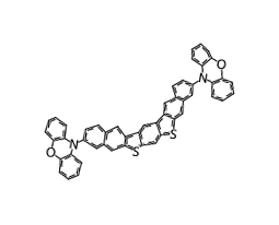 c1ccc2c(c1)Oc1ccccc1N2c1ccc2cc3c(cc2c1)sc1cc2sc4cc5cc(N6c7ccccc7Oc7ccccc76)ccc5cc4c2cc13